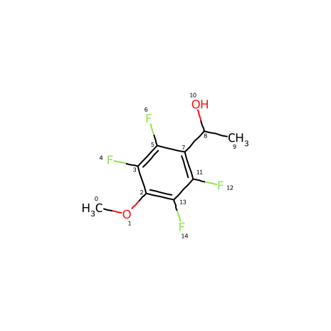 COc1c(F)c(F)c(C(C)O)c(F)c1F